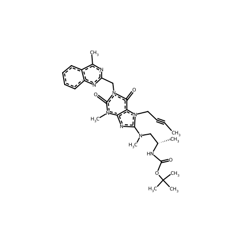 CC#CCn1c(N(C)C[C@H](C)NC(=O)OC(C)(C)C)nc2c1c(=O)n(Cc1nc(C)c3ccccc3n1)c(=O)n2C